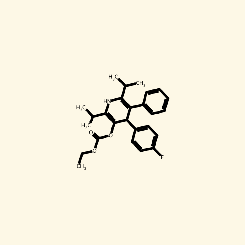 CCOC(=O)OC1=C(C(C)C)NC(C(C)C)=C(c2ccccc2)C1c1ccc(F)cc1